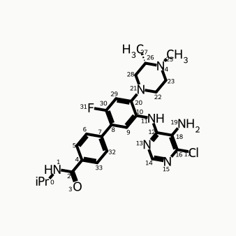 CC(C)NC(=O)c1ccc(-c2cc(Nc3ncnc(Cl)c3N)c(N3CCN(C)[C@@H](C)C3)cc2F)cc1